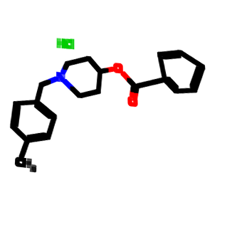 Cc1ccc(CN2CCC(OC(=O)c3ccccc3)CC2)cc1.Cl